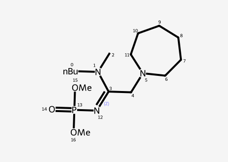 CCCCN(C)/C(CN1CCCCCC1)=N\P(=O)(OC)OC